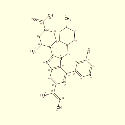 CC1CCC(Cn2c(N3CCN(C(=O)O)CC3C)nc3cc(C(N)=NO)nc(-c4cncc(Cl)c4)c32)CC1